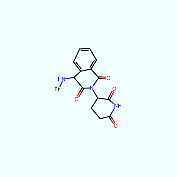 CCNC1C(=O)N(C2CCC(=O)NC2=O)C(=O)c2ccccc21